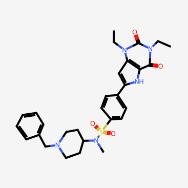 CCn1c(=O)c2[nH]c(-c3ccc(S(=O)(=O)N(C)C4CCN(Cc5ccccc5)CC4)cc3)cc2n(CC)c1=O